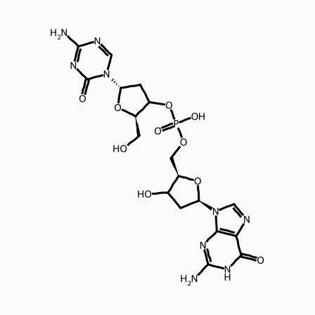 Nc1ncn([C@@H]2CC(OP(=O)(O)OC[C@H]3O[C@@H](n4cnc5c(=O)[nH]c(N)nc54)CC3O)[C@@H](CO)O2)c(=O)n1